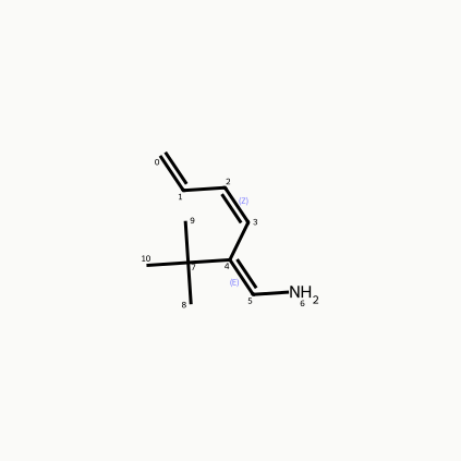 C=C/C=C\C(=C/N)C(C)(C)C